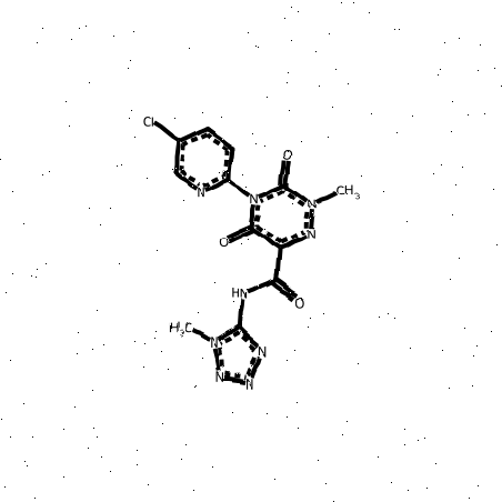 Cn1nnnc1NC(=O)c1nn(C)c(=O)n(-c2ccc(Cl)cn2)c1=O